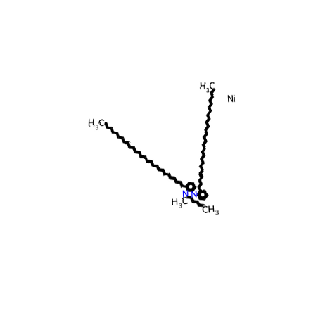 CCCCCCCCCCCCCCCCCCCCCCCCC=CCCCc1ccccc1N=C(C)C(CCCCC)=Nc1ccccc1CCCC=CCCCCCCCCCCCCCCCCCCCCCCCC.[Ni]